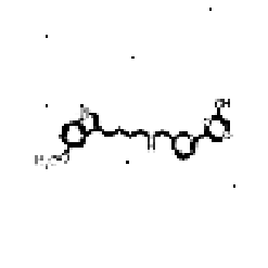 COc1ccc2[nH]cc(CCCCNCC3C=CC=C(C4=COC=C(O)O4)C3)c2c1